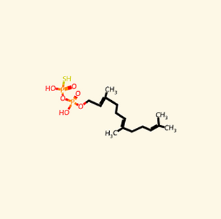 CC(C)=CCCC(C)=CCCC(C)=CCOP(=O)(O)OP(=O)(O)S